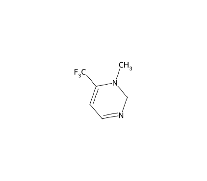 CN1CN=CC=C1C(F)(F)F